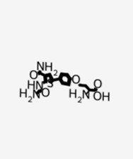 NC(=O)Nc1sc(-c2ccc(OCC[C@H](N)C(=O)O)cc2)cc1C(N)=O